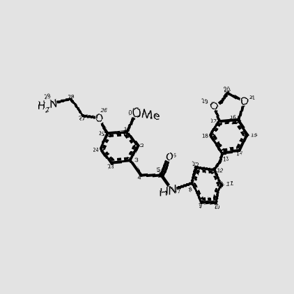 COc1cc(CC(=O)Nc2cccc(-c3ccc4c(c3)OCO4)c2)ccc1OCCN